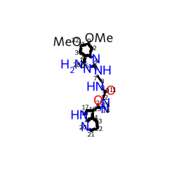 COc1cc2nc(NCCNC(=O)c3nnc(-c4c[nH]c5ncccc45)o3)nc(N)c2cc1OC